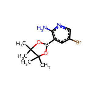 CC1(C)OB(c2cc(Br)cnc2N)OC1(C)C